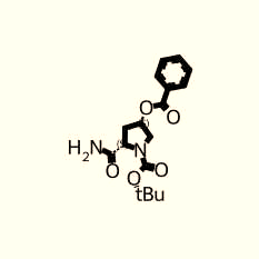 CC(C)(C)OC(=O)N1C[C@@H](OC(=O)c2ccccc2)C[C@H]1C(N)=O